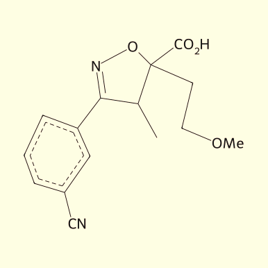 COCCC1(C(=O)O)ON=C(c2cccc(C#N)c2)C1C